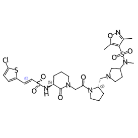 Cc1noc(C)c1S(=O)(=O)N(C)C1CCN(C[C@@H]2CCCN2C(=O)CN2CCC[C@H](NS(=O)(=O)/C=C/c3ccc(Cl)s3)C2=O)C1